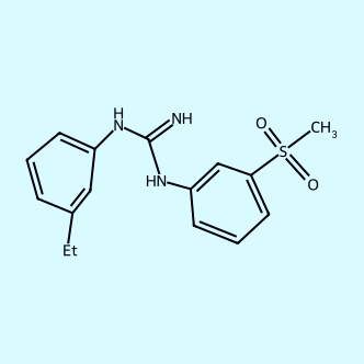 CCc1cccc(NC(=N)Nc2cccc(S(C)(=O)=O)c2)c1